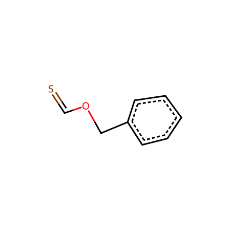 S=COCc1ccccc1